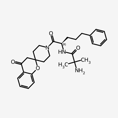 CC(C)(N)C(=O)N[C@H](CCCc1ccccc1)C(=O)N1CCC2(CC1)CC(=O)c1ccccc1O2